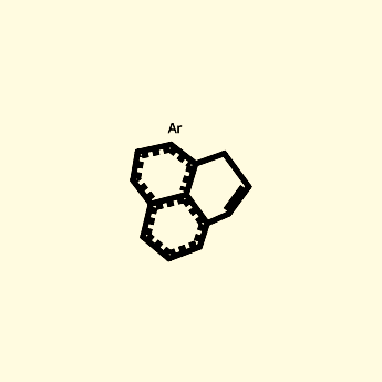 C1=Cc2cccc3cccc(c23)C1.[Ar]